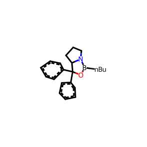 CCCCB1OC(c2ccccc2)(c2ccccc2)C2CCCN12